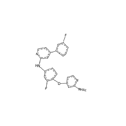 CC(=O)Nc1cc(Oc2ccc(Nc3cc(-c4cccc(F)c4)ccn3)cc2F)ccn1